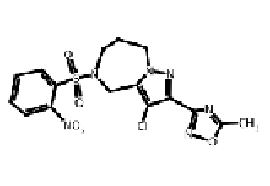 Cc1nc(-c2nn3c(c2Cl)CN(S(=O)(=O)c2ccccc2[N+](=O)[O-])CCC3)no1